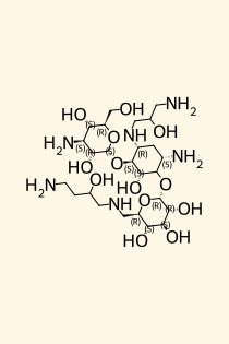 NCCC(O)CNC[C@H]1O[C@H](OC2[C@@H](N)C[C@@H](NCC(O)CN)[C@H](O[C@H]3O[C@H](CO)[C@@H](O)[C@H](N)[C@H]3O)[C@H]2O)[C@H](O)[C@@H](O)[C@@H]1O